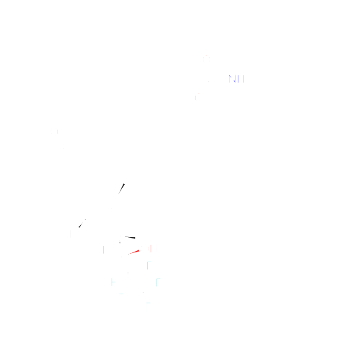 C[C@]12C[C@H](c3ccc(C#CCOC(=O)NCc4ccccc4)cc3)C3=C4CCC(=O)C=C4CC[C@H]3[C@@H]1CC[C@@]2(O)C(F)(F)C(F)(F)F